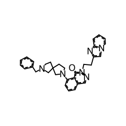 O=c1c2c(N3CCC4(CCN(Cc5ccccc5)C4)C3)cccc2cnn1CCc1cn2ccccc2n1